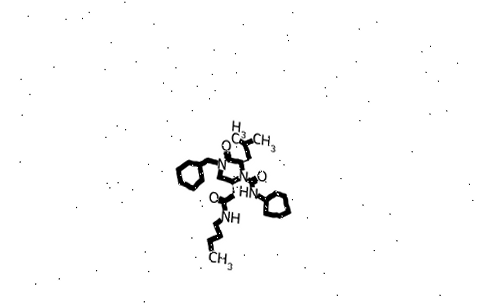 CCCCNC(=O)C[C@@H]1CN(CC2CCCCC2)C(=O)[C@H](CC(C)C)N1C(=O)NC1CCCCC1